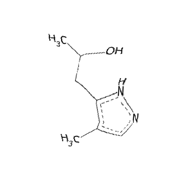 Cc1cn[nH]c1CC(C)O